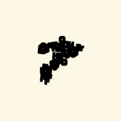 O=C(N[C@H](COCc1ccccc1)C(=O)O)/C(=C\c1ccc(Br)cc1)NC(=O)C1CCN(c2nccc(C(F)(F)F)n2)CC1